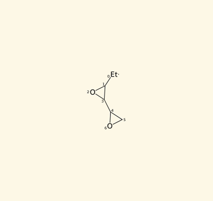 C[CH]C1OC1C1CO1